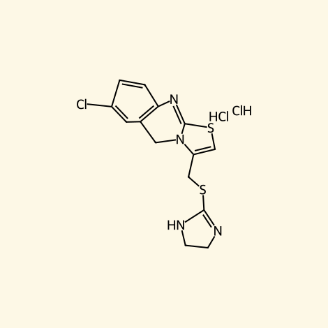 Cl.Cl.Clc1ccc2c(c1)CN1C(CSC3=NCCN3)=CSC1=N2